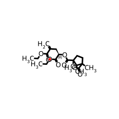 C=C(C[C@@H](OC(=O)C12CCC(C)(C(=O)O1)C2(C)C)C(=O)OCC)C(=O)OCC